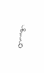 [CH2]CC(=O)OCSCCSCc1[c]cccc1